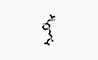 CC(C)CN(C)CCCN1CCO[C@@H](CNC(C)C)C1